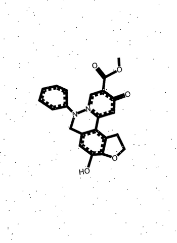 COC(=O)c1cn2c(cc1=O)-c1c(cc(O)c3c1CCO3)CN2c1ccccc1